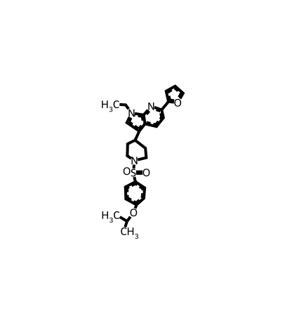 CCn1cc(C2CCN(S(=O)(=O)c3ccc(OC(C)C)cc3)CC2)c2ccc(-c3ccco3)nc21